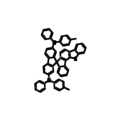 Cc1ccc(N(c2ccccc2)c2ccc3c(c2)C2(c4cc(N(c5ccccc5)c5ccc(C)cc5)ccc4-3)c3ccccc3-c3c2ccc2c3sc3ccccc32)cc1